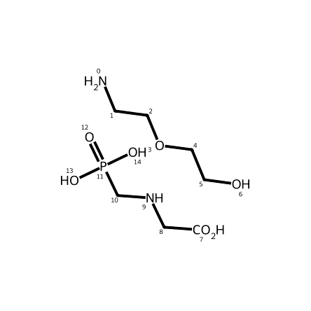 NCCOCCO.O=C(O)CNCP(=O)(O)O